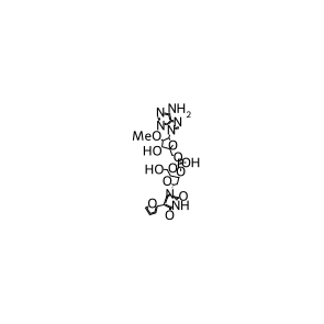 COC1C(O)C(COP(=O)(O)O[C@@H]2C[C@H](n3cc(-c4ccco4)c(=O)[nH]c3=O)OC2CO)OC1n1cnc2c(N)ncnc21